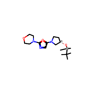 CC(C)(C)[Si](C)(C)O[C@H]1CCN(c2cnc(N3CCOCC3)o2)C1